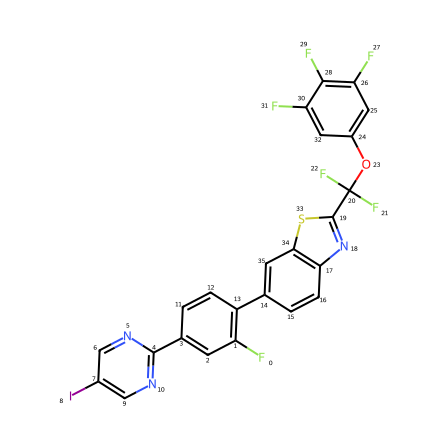 Fc1cc(-c2ncc(I)cn2)ccc1-c1ccc2nc(C(F)(F)Oc3cc(F)c(F)c(F)c3)sc2c1